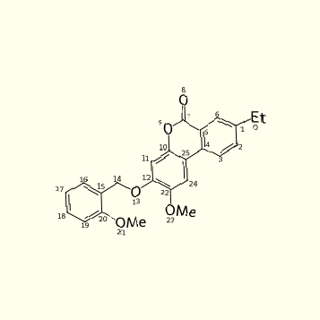 CCc1ccc2c(c1)c(=O)oc1cc(OCc3ccccc3OC)c(OC)cc12